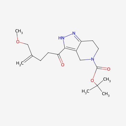 C=C(CCC(=O)c1[nH]nc2c1CN(C(=O)OC(C)(C)C)CC2)COC